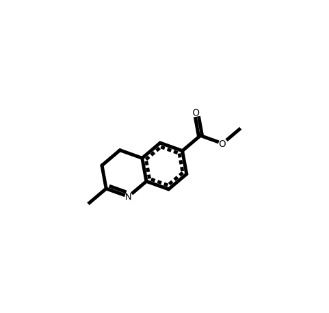 COC(=O)c1ccc2c(c1)CCC(C)=N2